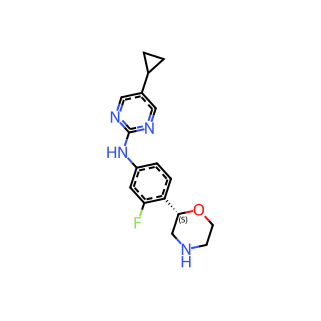 Fc1cc(Nc2ncc(C3CC3)cn2)ccc1[C@H]1CNCCO1